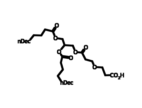 CCCCCCCCCCCCCC(=O)OCC(COC(=O)CCOCCC(=O)O)OC(=O)CCCCCCCCCCCCC